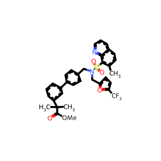 COC(=O)C(C)(C)c1cccc(-c2ccc(CN(Cc3ccc(C(F)(F)F)o3)S(=O)(=O)c3c(C)ccc4cccnc34)cc2)c1